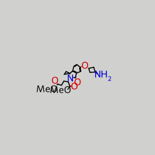 COC(=O)CCC(C(=O)OC)N1C(=O)c2cc(OC3CC(N)C3)ccc2C12CC2